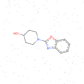 OC1CCN(c2nc3c[c]ccc3o2)CC1